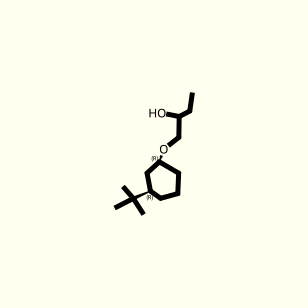 CCC(O)CO[C@@H]1CCC[C@@H](C(C)(C)C)C1